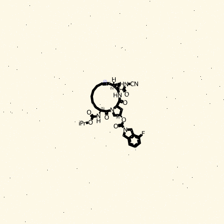 CC(C)OC(=O)N[C@H]1CCCCC/C=C\[C@@H]2C[C@@]2(C(=O)NC#N)NC(=O)C2C[C@@H](OC(=O)N3Cc4cccc(F)c4C3)CN2C1=O